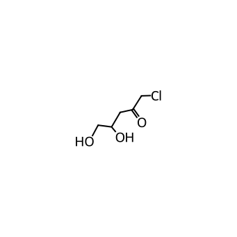 O=C(CCl)CC(O)CO